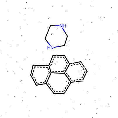 C1CNCCN1.c1cc2ccc3cccc4ccc(c1)c2c34